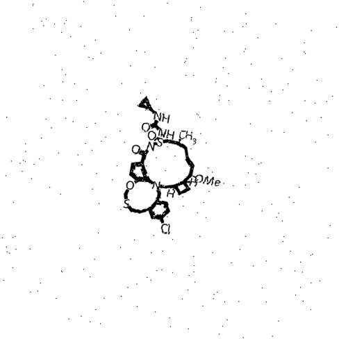 CO[C@H]1/C=C/C[C@H](C)C[S@@](=O)(NC(=O)NC2CC2)=NC(=O)c2ccc3c(c2)N(Cc2ccc(Cl)cc2CCSCO3)C[C@@H]2CC[C@H]21